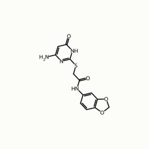 Nc1cc(=O)[nH]c(SCC(=O)Nc2ccc3c(c2)OCO3)n1